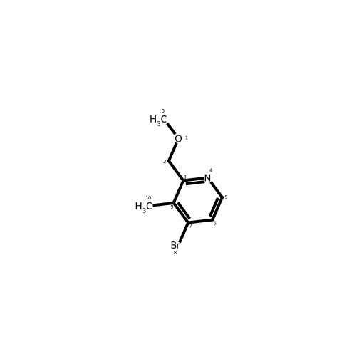 COCc1nccc(Br)c1C